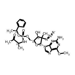 COc1nc(N)nc2c1ncn2[C@@H]1O[C@H](COP(=O)(N[C@@H](C)C(C)=O)O[C@@H](C)c2ccccc2)[C@@H](O)C1(C)N=[N+]=[N-]